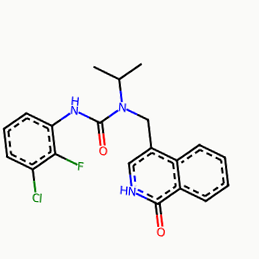 CC(C)N(Cc1c[nH]c(=O)c2ccccc12)C(=O)Nc1cccc(Cl)c1F